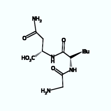 CC[C@H](C)[C@H](NC(=O)CN)C(=O)N[C@@H](CC(N)=O)C(=O)O